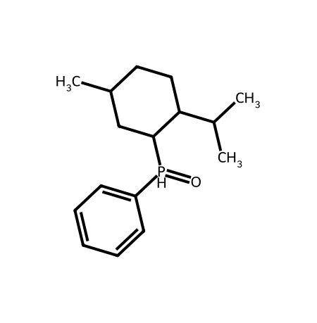 CC1CCC(C(C)C)C([PH](=O)c2ccccc2)C1